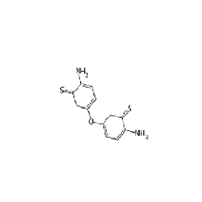 NC1=CC=C(OC2=CC=C(N)C(=S)C2)CC1=S